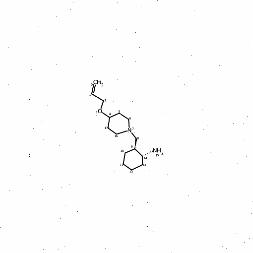 C=CCOC1CCN(C[C@@H]2CCCC[C@H]2N)CC1